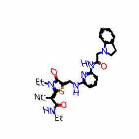 CCNC(=O)C(C#N)=c1sc(=CNc2cccc(NC(=O)CN3CCc4ccccc43)n2)c(=O)n1CC